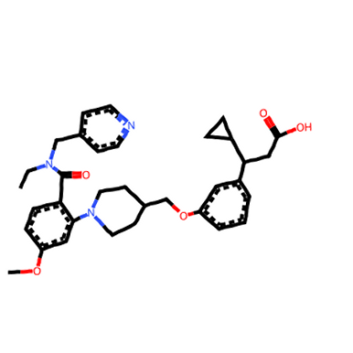 CCN(Cc1ccncc1)C(=O)c1ccc(OC)cc1N1CCC(COc2cccc(C(CC(=O)O)C3CC3)c2)CC1